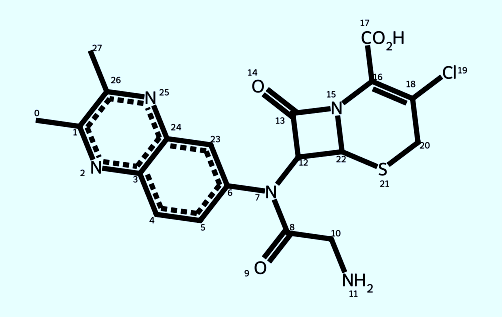 Cc1nc2ccc(N(C(=O)CN)C3C(=O)N4C(C(=O)O)=C(Cl)CSC34)cc2nc1C